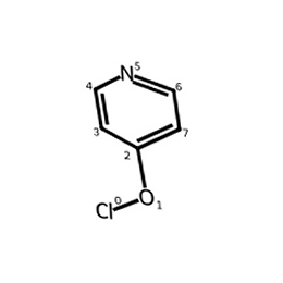 ClOc1ccncc1